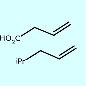 C=CCC(=O)O.C=CCC(C)C